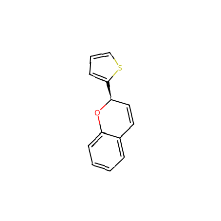 C1=C[C@H](c2cccs2)Oc2ccccc21